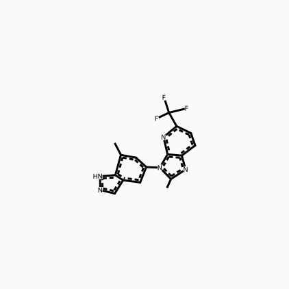 Cc1cc(-n2c(C)nc3ccc(C(F)(F)F)nc32)cc2cn[nH]c12